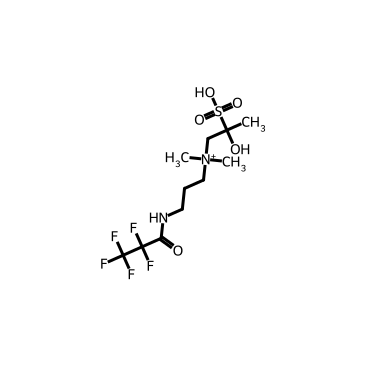 CC(O)(C[N+](C)(C)CCCNC(=O)C(F)(F)C(F)(F)F)S(=O)(=O)O